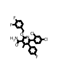 Cc1c(C(N)=O)c(OCc2ccc(F)c(F)c2)nc(-c2ccc(Cl)cc2Cl)c1-c1ccc(F)cc1